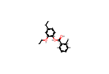 CCOc1cc(CC)ccc1OC(=O)c1ccccc1C